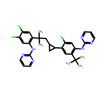 CC(C)(C)c1cc(C2CC2CC(C)(C)c2cc(Cl)c(Cl)cc2Nc2ncccn2)c(Cl)cc1Nc1ncccn1